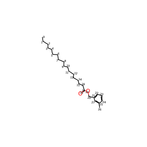 CCCCCCCCCCCCCCCCCC(=O)OCc1cccc(C)c1